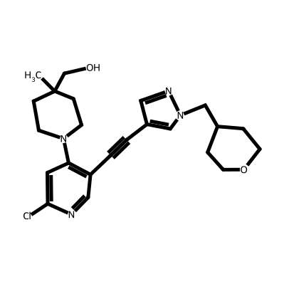 CC1(CO)CCN(c2cc(Cl)ncc2C#Cc2cnn(CC3CCOCC3)c2)CC1